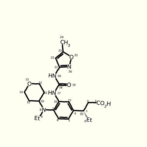 CC[C@@H](CC(=O)O)c1ccc(N(CC)C2CCOCC2)c(NC(=O)Nc2cc(C)on2)c1